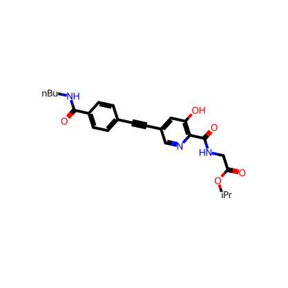 CCCCNC(=O)c1ccc(C#Cc2cnc(C(=O)NCC(=O)OC(C)C)c(O)c2)cc1